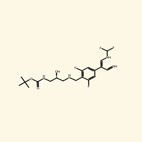 CC(C)(C)OC(=O)NC[C@@H](O)CNCc1c(F)cc(/C(C=N)=C/NC(F)F)cc1F